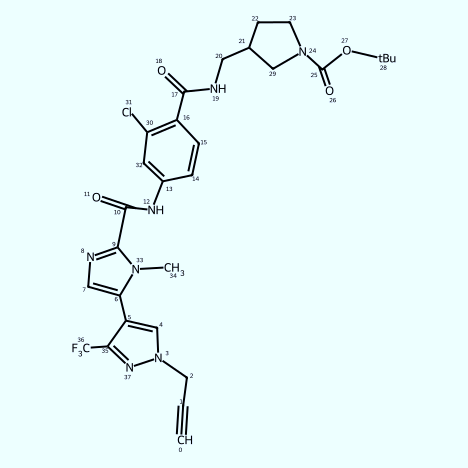 C#CCn1cc(-c2cnc(C(=O)Nc3ccc(C(=O)NCC4CCN(C(=O)OC(C)(C)C)C4)c(Cl)c3)n2C)c(C(F)(F)F)n1